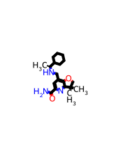 C[C@H](NCc1cc(C(N)=O)nc2c1OCC2(C)C)C1CCCCC1